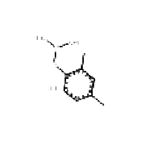 Cc1ccc(OB(O)O)c(C)c1.[LiH]